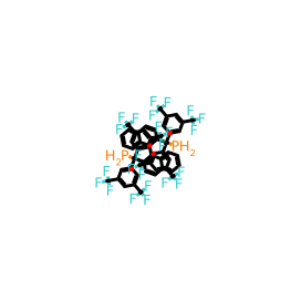 FC(F)(F)c1cc(C(F)(F)F)cc(C(P)(c2cc(C(F)(F)F)cc(C(F)(F)F)c2)c2ccc3ccccc3c2-c2c(C(P)(c3cc(C(F)(F)F)cc(C(F)(F)F)c3)c3cc(C(F)(F)F)cc(C(F)(F)F)c3)ccc3ccccc23)c1